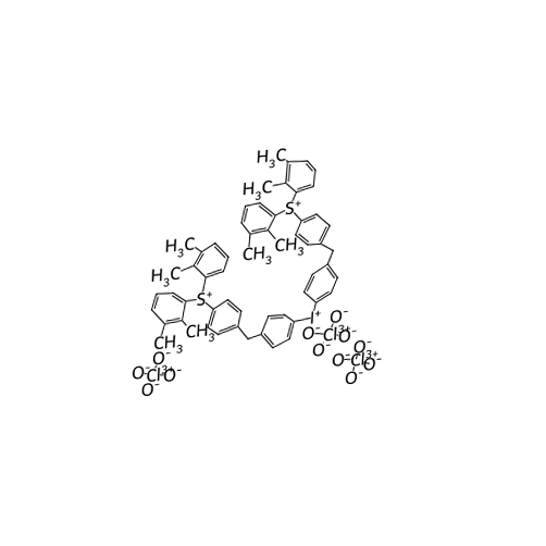 Cc1cccc([S+](c2ccc(Cc3ccc([I+]c4ccc(Cc5ccc([S+](c6cccc(C)c6C)c6cccc(C)c6C)cc5)cc4)cc3)cc2)c2cccc(C)c2C)c1C.[O-][Cl+3]([O-])([O-])[O-].[O-][Cl+3]([O-])([O-])[O-].[O-][Cl+3]([O-])([O-])[O-]